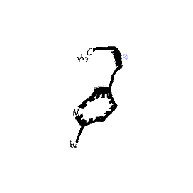 C/C=C\c1ccc(Br)nc1